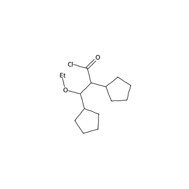 CCOC(C1CCCC1)C(C(=O)Cl)C1CCCC1